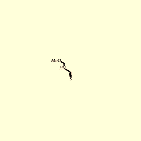 COCNC=S